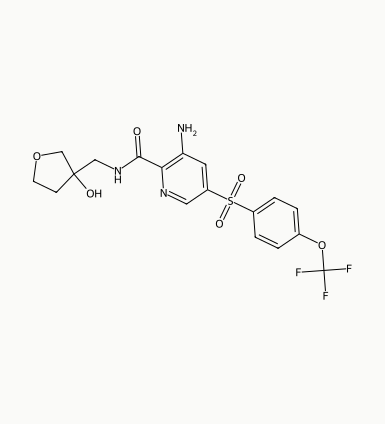 Nc1cc(S(=O)(=O)c2ccc(OC(F)(F)F)cc2)cnc1C(=O)NCC1(O)CCOC1